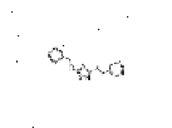 c1ccc(COc2nc(SCc3ccccc3)ns2)cc1